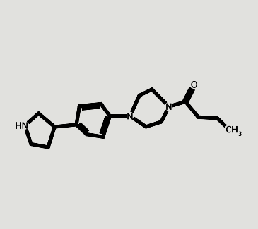 CCCC(=O)N1CCN(c2ccc(C3CCNC3)cc2)CC1